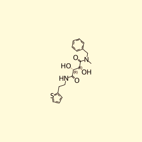 CN(Cc1ccccc1)C(=O)[C@H](O)[C@@H](O)C(=O)NCCc1cccs1